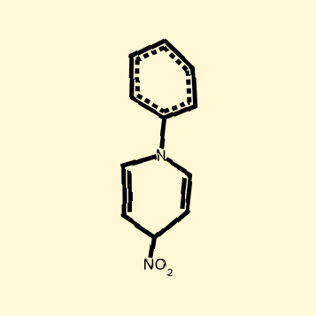 O=[N+]([O-])C1C=CN(c2ccccc2)C=C1